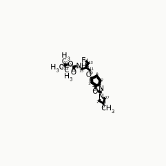 CC1CN(c2nc3ccc(OC/C(=C/F)CNC(=O)OC(C)(C)C)cc3o2)C1